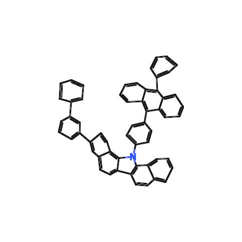 c1ccc(-c2cccc(-c3ccc4c(ccc5c6ccc7ccccc7c6n(-c6ccc(-c7c8ccccc8c(-c8ccccc8)c8ccccc78)cc6)c45)c3)c2)cc1